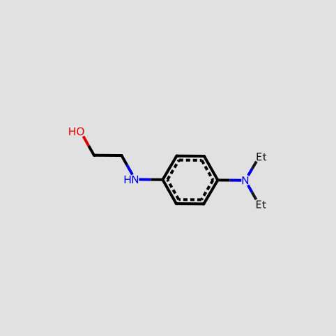 CCN(CC)c1ccc(NCCO)cc1